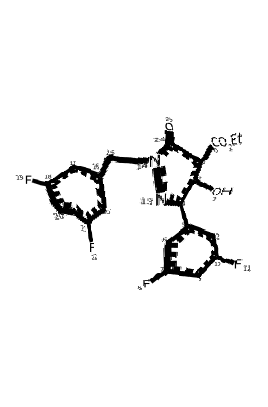 CCOC(=O)c1c(O)c(-c2cc(F)cc(F)c2)nn(Cc2cc(F)cc(F)c2)c1=O